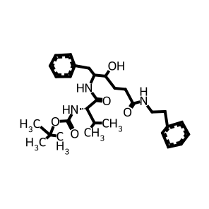 CC(C)[C@H](NC(=O)OC(C)(C)C)C(=O)NC(Cc1ccccc1)C(O)CCC(=O)NCCc1ccccc1